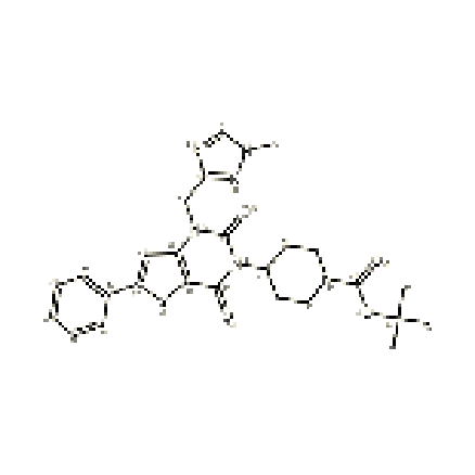 Cn1cnc(Cn2c(=O)n(C3CCN(C(=O)OC(C)(C)C)CC3)c(=O)c3sc(-c4ccccc4)cc32)n1